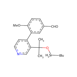 COc1ccc(C=O)cc1-c1ccncc1C(C)(C)O[SiH2]C(C)(C)C